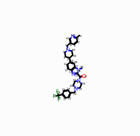 Cc1ccc(CN2CCC(c3ccc4nc(C(=O)N5CCN(Cc6ccc(C(F)(F)F)cc6)CC5)n(C)c4c3)CC2)cn1